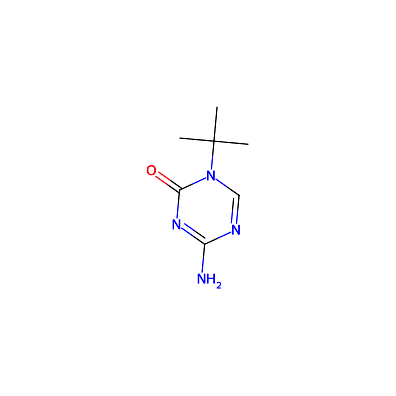 CC(C)(C)n1cnc(N)nc1=O